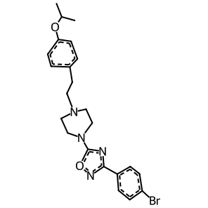 CC(C)Oc1ccc(CCN2CCN(c3nc(-c4ccc(Br)cc4)no3)CC2)cc1